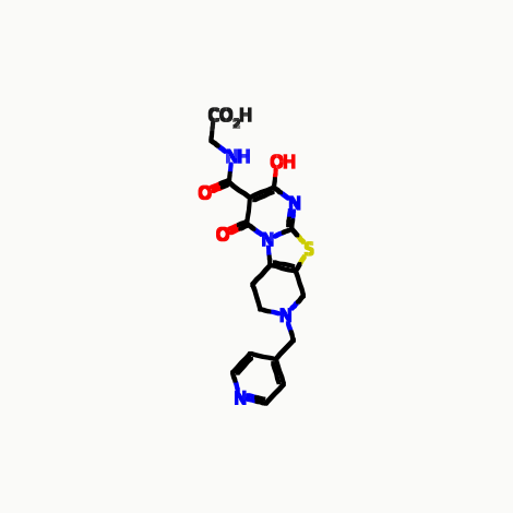 O=C(O)CNC(=O)c1c(O)nc2sc3c(n2c1=O)CCN(Cc1ccncc1)C3